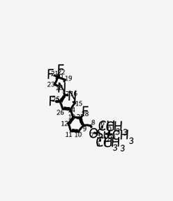 CC(C)(C)[Si](C)(C)OCc1cccc(-c2cnc(N3CC(F)(F)C3)c(F)c2)c1F